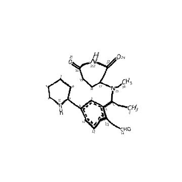 CC(c1cc(C2CCCCN2)ccc1C=O)N(C)C1CCC(=O)NC1=O